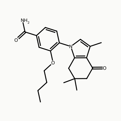 CCCCOc1cc(C(N)=O)ccc1-n1cc(C)c2c1CC(C)(C)CC2=O